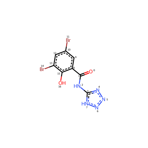 O=C(Nc1nnn[nH]1)c1cc(Br)cc(Br)c1O